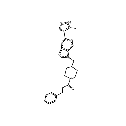 Cc1[nH]ncc1-c1cc2ccn(CC3CCN(C(=O)CCc4ccccc4)CC3)c2cn1